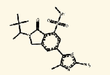 CNS(=O)(=O)c1cc(-c2sc(N)nc2C)cc2c1C(=O)N(C(C)C(C)(C)C)C2